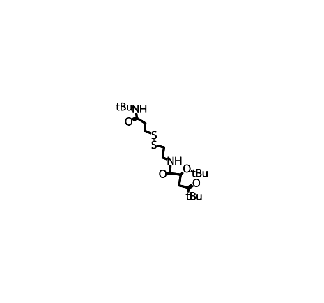 CC(C)(C)NC(=O)CCSSCCNC(=O)C(CC(=O)C(C)(C)C)OC(C)(C)C